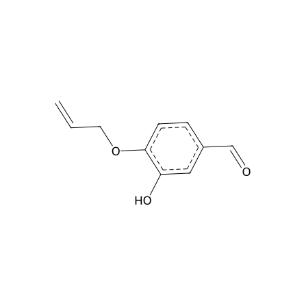 C=CCOc1ccc(C=O)cc1O